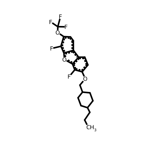 CCCC1CCC(COc2ccc3c(oc4c(F)c(OC(F)(F)F)ccc43)c2F)CC1